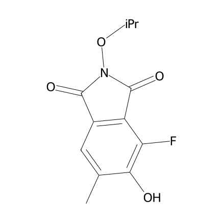 Cc1cc2c(c(F)c1O)C(=O)N(OC(C)C)C2=O